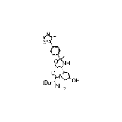 Cc1ncsc1-c1ccc(C2(C)NC([C@@H]3C[C@@H](O)CN3C(=O)[C@@H](N)C(C)(C)C)=NO2)cc1